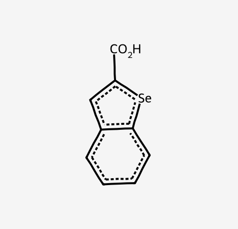 O=C(O)c1cc2ccccc2[se]1